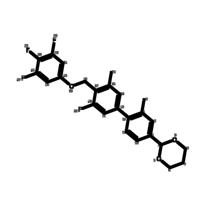 Cc1cc(C2OCCCO2)ccc1-c1cc(C)c(COc2cc(F)c(F)c(F)c2)c(F)c1